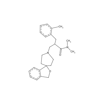 Cc1ccccc1CC(CN1CCC2(CC1)OCc1ccccc12)C(=O)N(C)C